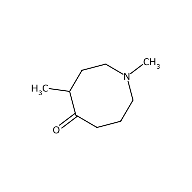 CC1CCN(C)CCCC1=O